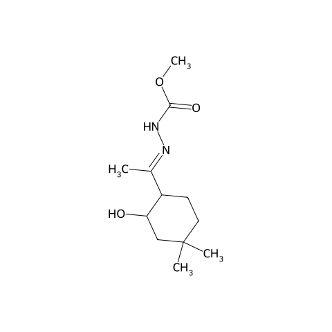 COC(=O)N/N=C(\C)C1CCC(C)(C)CC1O